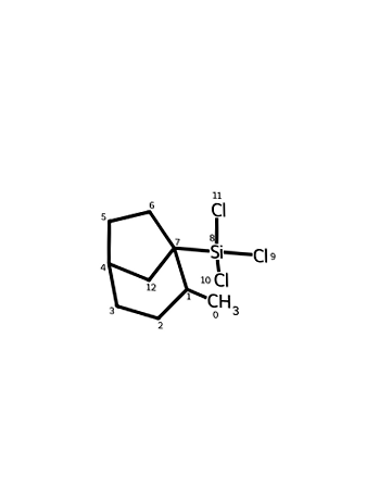 CC1CCC2CCC1([Si](Cl)(Cl)Cl)C2